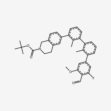 COc1cc(-c2cccc(-c3cccc(-c4ccc5c(c4)CCN(C(=O)OC(C)(C)C)C5)c3C)c2C)cc(F)c1C=O